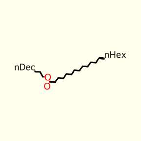 CCCCCCC=CCCCCCCCCCCCC(=O)OCCCCCCCCCCCCC